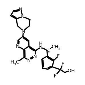 Cc1nnc(N[C@H](C)c2cccc(C(F)(F)CO)c2F)c2cc(N3CCn4nccc4C3)cnc12